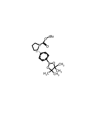 CC(C)(C)OC(=O)N1CCC[C@H]1c1ccc(B2OC(C)(C)C(C)(C)O2)cc1